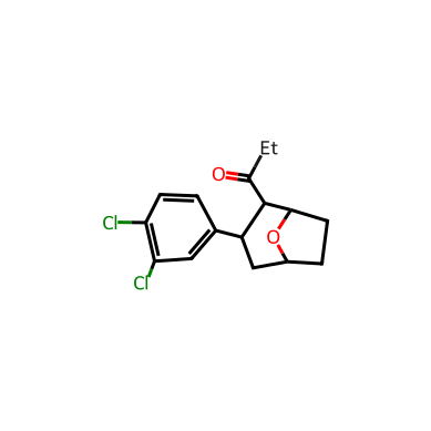 CCC(=O)C1C2CCC(CC1c1ccc(Cl)c(Cl)c1)O2